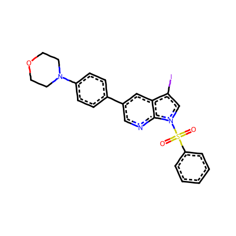 O=S(=O)(c1ccccc1)n1cc(I)c2cc(-c3ccc(N4CCOCC4)cc3)cnc21